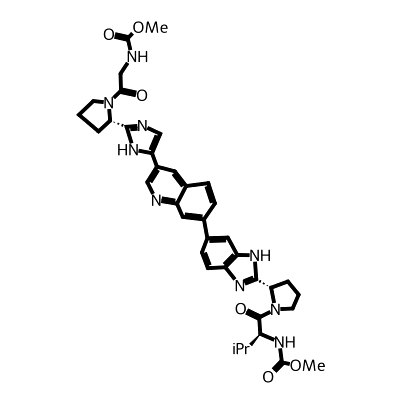 COC(=O)NCC(=O)N1CCC[C@H]1c1ncc(-c2cnc3cc(-c4ccc5nc([C@@H]6CCCN6C(=O)[C@@H](NC(=O)OC)C(C)C)[nH]c5c4)ccc3c2)[nH]1